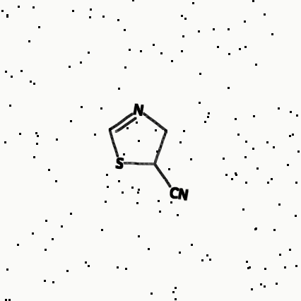 N#CC1CN=CS1